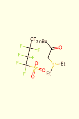 CCCCC(=O)C[S+](CC)CC.O=S(=O)([O-])C(F)(F)C(F)(F)C(F)(F)C(F)(F)F